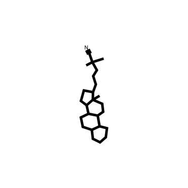 CC(C)(C#N)CCCC1CCC2C3CCC4CCCCC4C3CCC12C